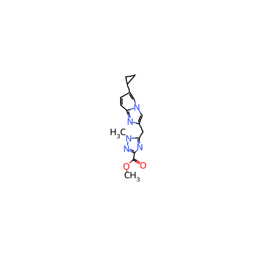 COC(=O)c1nc(Cc2cn3cc(C4CC4)ccc3n2)n(C)n1